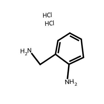 Cl.Cl.NCc1ccccc1N